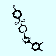 Cc1ccc(-c2csc(N3CCC(S(=O)(=O)c4ccc(F)cc4)CC3)n2)cc1C